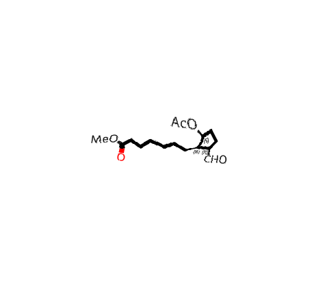 COC(=O)CCCCCC[C@@H]1[C@H](C=O)CC[C@@H]1OC(C)=O